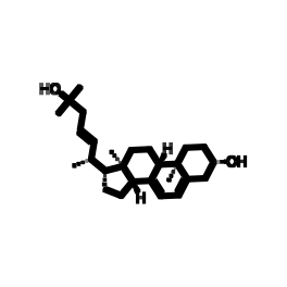 C[C@H](/C=C/CC(C)(C)O)[C@H]1CC[C@H]2C3=CC=C4C[C@@H](O)CC[C@]4(C)[C@H]3CC[C@]12C